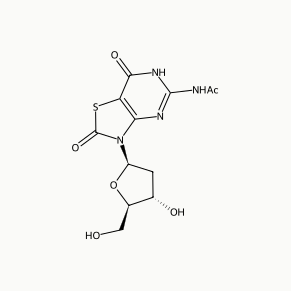 CC(=O)Nc1nc2c(sc(=O)n2[C@H]2C[C@H](O)[C@@H](CO)O2)c(=O)[nH]1